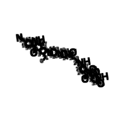 CCc1cc2c(cc1N1CCC(N3CCN(C(=O)CCCNc4ccc5c(c4)C(=O)N(C4CCC(=O)NC4=O)C5=O)CC3)CC1)C(C)(C)c1[nH]c3cc(C#N)ccc3c1C2=O